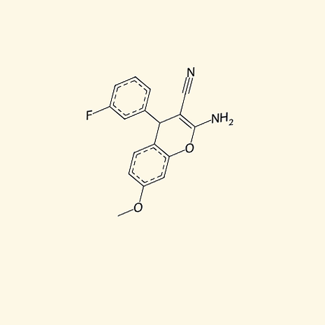 COc1ccc2c(c1)OC(N)=C(C#N)C2c1cccc(F)c1